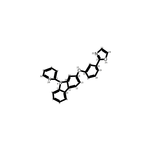 c1ccc(-n2c3ccccc3c3ccc(Oc4cccc(-c5ncco5)c4)cc32)nc1